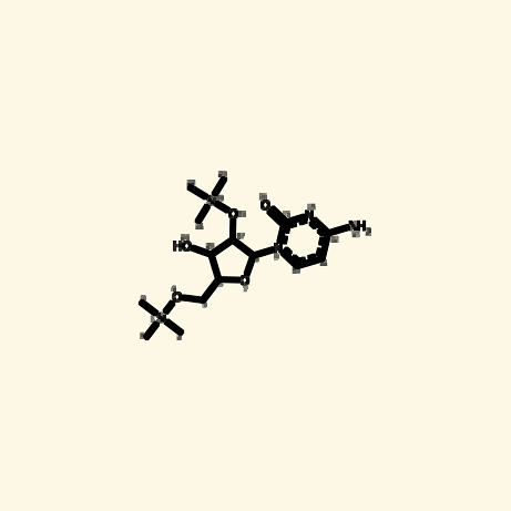 C[Si](C)(C)OCC1OC(n2ccc(N)nc2=O)C(O[Si](C)(C)C)C1O